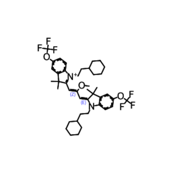 COC(=C\C1=[N+](CCC2CCCCC2)c2ccc(OC(F)(F)F)cc2C1(C)C)/C=C1/N(CCC2CCCCC2)c2ccc(OC(F)(F)F)cc2C1(C)C